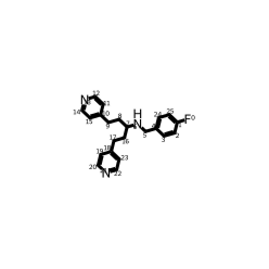 Fc1ccc(CNC(CCc2ccncc2)CCc2ccncc2)cc1